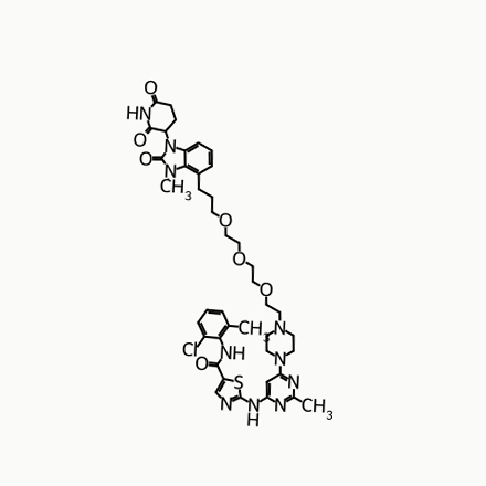 Cc1nc(Nc2ncc(C(=O)Nc3c(C)cccc3Cl)s2)cc(N2CCN(CCOCCOCCOCCCc3cccc4c3n(C)c(=O)n4C3CCC(=O)NC3=O)CC2)n1